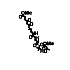 COC(=O)CCC(=O)CC(=O)SCCNC(=O)CCNC(=O)[C@@H]1OC(CC(C)O)(OC)OCC1(C)C